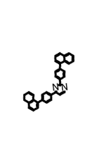 C1=Cc2c(cccc2-c2ccc(-c3ccnc(-c4ccc(-c5cccc6ccccc56)cc4)n3)cc2)CC1